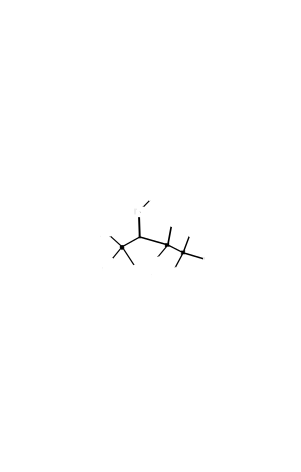 CC(C)(C)C(NS)C(F)(F)C(F)(F)F